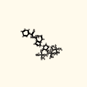 CC(C)(C)[Si](C)(C)OC[C@H]1O[C@@H](n2cnc3c2N=CNC3NC(=O)c2ccccc2)[C@H](O[Si](C)(C)C(C)(C)C)[C@@H]1O[Si](C)(C)C(C)(C)C